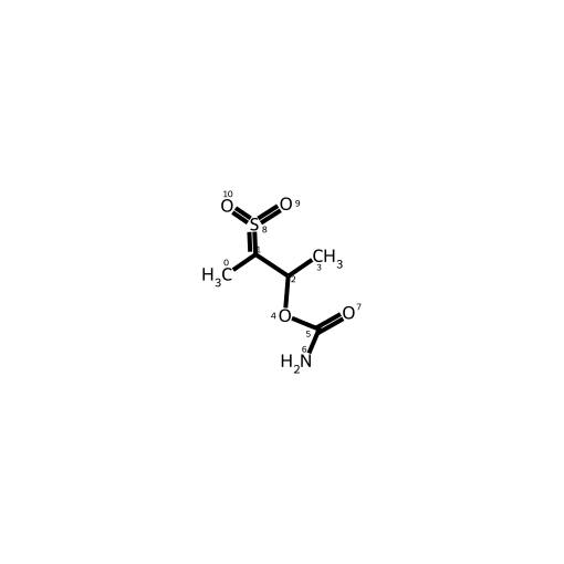 CC(C(C)OC(N)=O)=S(=O)=O